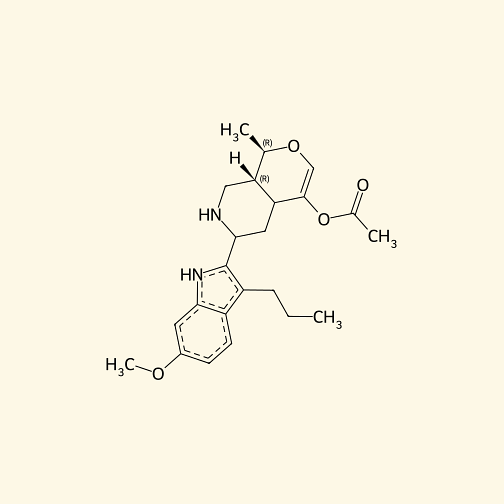 CCCc1c(C2CC3C(OC(C)=O)=CO[C@H](C)[C@H]3CN2)[nH]c2cc(OC)ccc12